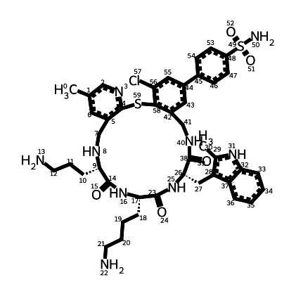 Cc1cnc2c(c1)CN[C@@H](CCCN)C(=O)N[C@@H](CCCCN)C(=O)N[C@@H](Cc1c(C)[nH]c3ccccc13)C(=O)NCc1cc(-c3ccc(S(N)(=O)=O)cc3)cc(Cl)c1S2